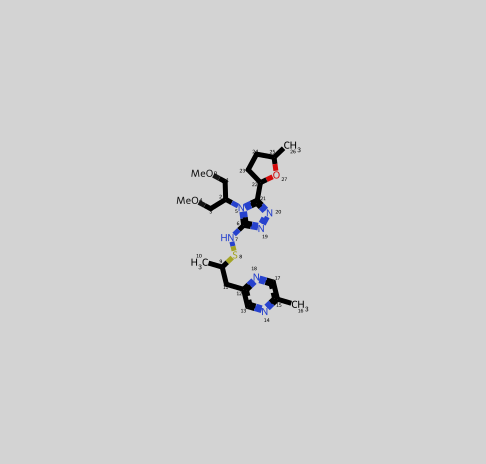 COCC(COC)n1c(NSC(C)Cc2cnc(C)cn2)nnc1C1CCC(C)O1